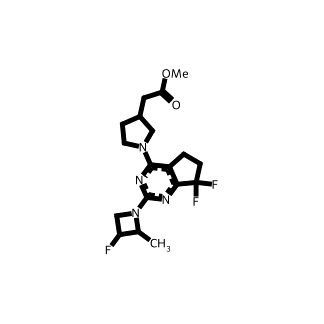 COC(=O)CC1CCN(c2nc(N3CC(F)C3C)nc3c2CCC3(F)F)C1